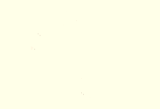 Cc1cc(-c2c(C(N)=O)c(F)cc3[nH]nc(C4CC4)c23)ccc1S(C)(=O)=O